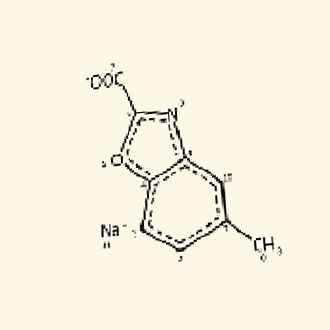 Cc1ccc2oc(C(=O)[O-])nc2c1.[Na+]